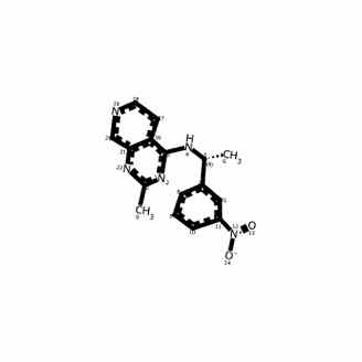 Cc1nc(N[C@H](C)c2cccc([N+](=O)[O-])c2)c2ccncc2n1